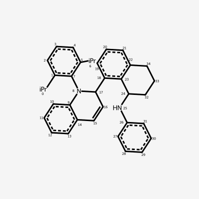 CC(C)c1cccc(C(C)C)c1N1c2ccccc2C=CC1c1cccc2c1C(Nc1ccccc1)CCC2